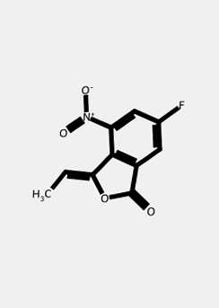 C/C=C1\OC(=O)c2cc(F)cc([N+](=O)[O-])c21